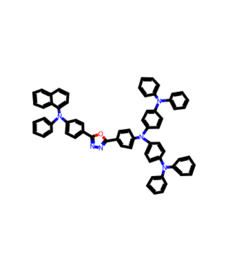 c1ccc(N(c2ccccc2)c2ccc(N(c3ccc(-c4nnc(-c5ccc(N(c6ccccc6)c6cccc7ccccc67)cc5)o4)cc3)c3ccc(N(c4ccccc4)c4ccccc4)cc3)cc2)cc1